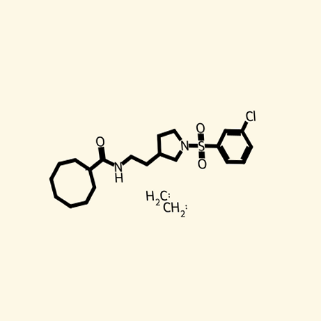 O=C(NCCC1CCN(S(=O)(=O)c2cccc(Cl)c2)C1)[C]1CCCCCCC1.[CH2].[CH2]